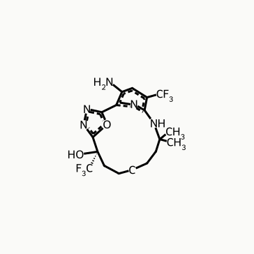 CC1(C)CCCCC[C@](O)(C(F)(F)F)c2nnc(o2)-c2nc(c(C(F)(F)F)cc2N)N1